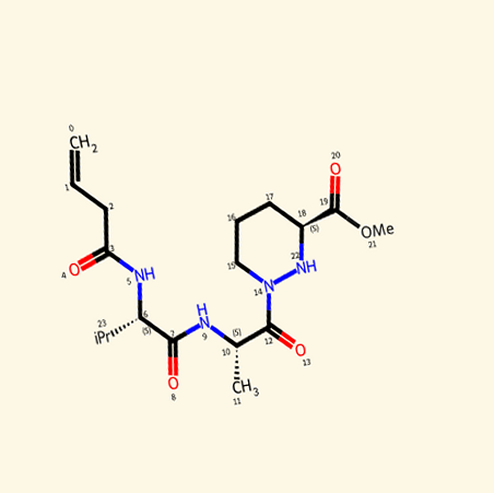 C=CCC(=O)N[C@H](C(=O)N[C@@H](C)C(=O)N1CCC[C@@H](C(=O)OC)N1)C(C)C